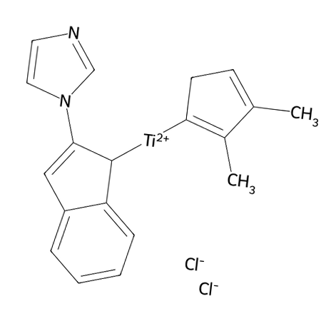 CC1=CC[C]([Ti+2][CH]2C(n3ccnc3)=Cc3ccccc32)=C1C.[Cl-].[Cl-]